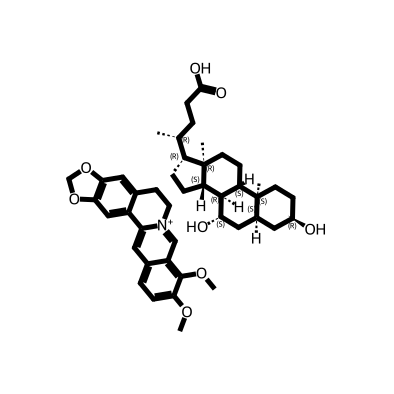 COc1ccc2cc3[n+](cc2c1OC)CCc1cc2c(cc1-3)OCO2.C[C@H](CCC(=O)O)[C@H]1CC[C@H]2[C@@H]3[C@@H](O)C[C@@H]4C[C@H](O)CC[C@]4(C)[C@H]3CC[C@]12C